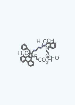 CC1(Cc2ccccc2)C(/C=C/C=C/C=C2\N(CCOC=O)c3ccccc3C2(C)C)=[N+](CCC(=O)O)c2c1c1ccccc1c1ccccc21